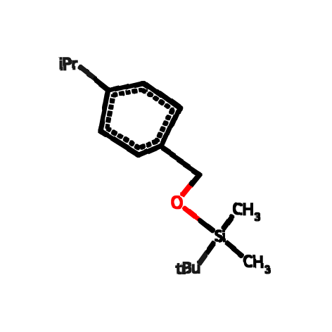 CC(C)c1ccc(CO[Si](C)(C)C(C)(C)C)cc1